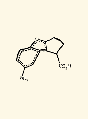 Nc1ccc2oc3c(c2c1)C(C(=O)O)CC3